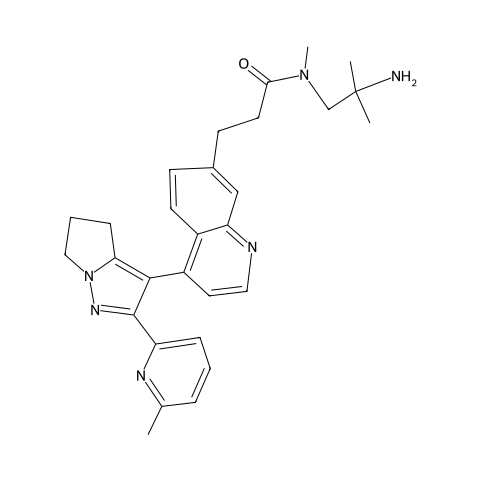 Cc1cccc(-c2nn3c(c2-c2ccnc4cc(CCC(=O)N(C)CC(C)(C)N)ccc24)CCC3)n1